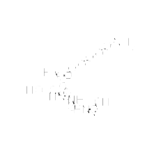 Cc1ccnc(NCCCC(=O)NCC(=O)N[C@@H](CC(=O)O)c2ccc(-c3ccc(OCCOCCOCCOCCOCCN)cc3OC(F)(F)F)cc2)c1